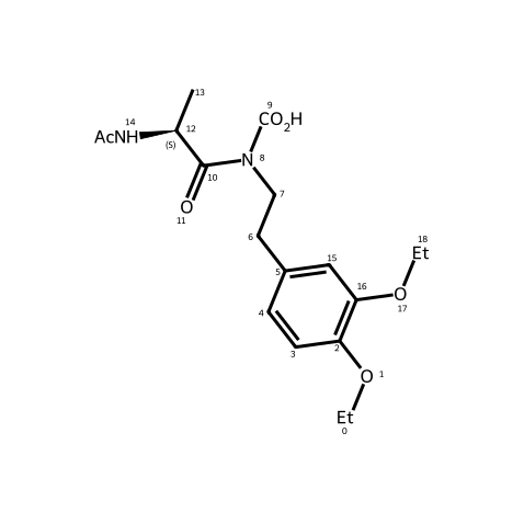 CCOc1ccc(CCN(C(=O)O)C(=O)[C@H](C)NC(C)=O)cc1OCC